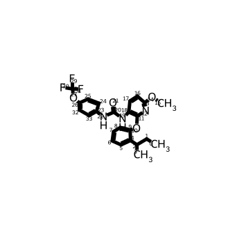 CCC(C)c1ccccc1Oc1nc(OC)ccc1NC(=O)Nc1ccc(OC(F)(F)F)cc1